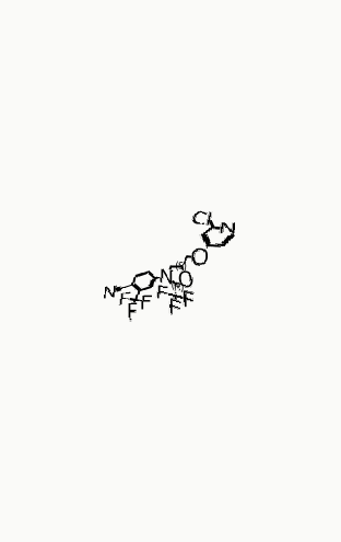 N#Cc1ccc(N2C[C@@H](COc3ccnc(Cl)c3)O[C@@H]2C(F)(F)F)cc1C(F)(F)F